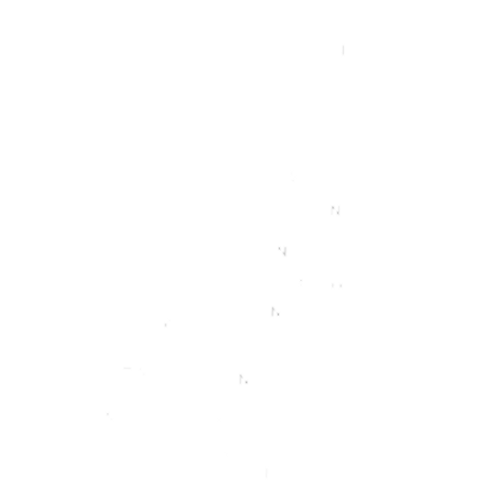 CC1(C)CN(c2ccc(F)cc2NC(=O)Nc2nc3ccc(F)cc3s2)c2c(O)ccc(C(F)(F)F)c21